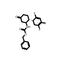 O=C1CC[C@H](C2CC(F)=C(F)C=C2F)C(NC(=O)OCc2ccccc2)C1